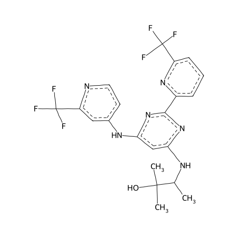 CC(Nc1cc(Nc2ccnc(C(F)(F)F)c2)nc(-c2cccc(C(F)(F)F)n2)n1)C(C)(C)O